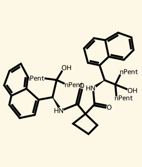 CCCCCC(O)(CCCCC)[C@@H](NC(=O)C1(C(=O)N[C@@H](c2cccc3ccccc23)C(O)(CCCCC)CCCCC)CCC1)c1cccc2ccccc12